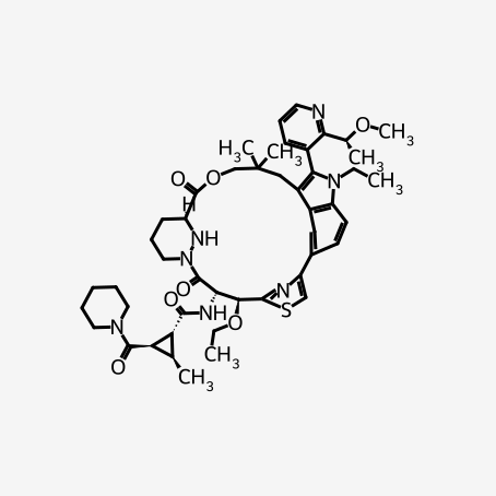 CCO[C@@H]1c2nc(cs2)-c2ccc3c(c2)c(c(-c2cccnc2[C@H](C)OC)n3CC)CC(C)(C)COC(=O)[C@@H]2CCCN(N2)C(=O)[C@H]1NC(=O)[C@@H]1[C@@H](C)[C@H]1C(=O)N1CCCCC1